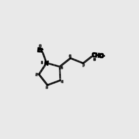 CCN1CCCC1CC[C]=O